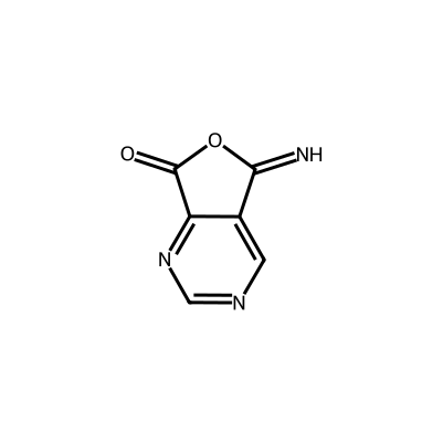 N=C1OC(=O)c2ncncc21